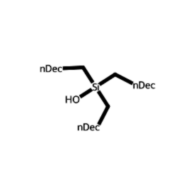 CCCCCCCCCCC[Si](O)(CCCCCCCCCCC)CCCCCCCCCCC